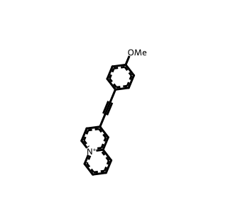 COc1ccc(C#Cc2cc[n+]3ccccc3c2)cc1